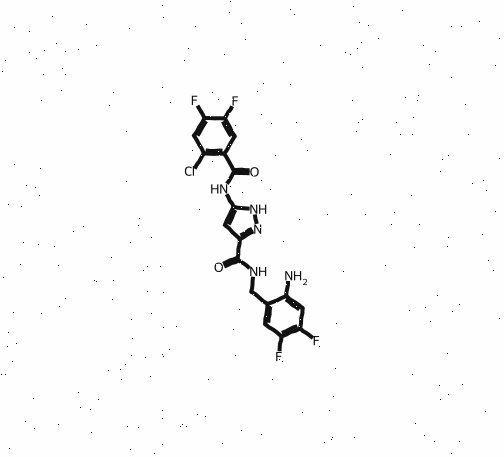 Nc1cc(F)c(F)cc1CNC(=O)c1cc(NC(=O)c2cc(F)c(F)cc2Cl)[nH]n1